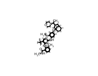 CNC(=O)c1cccc(C)c1Nc1nc(Nc2ccc(OC34CCCC(CC(C(C)N5CCOCC5)C3)C4)cc2OC)ncc1C(F)(F)F